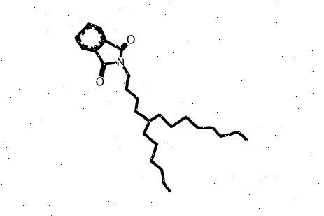 CCCCCCCCC(CCCCCC)CCCCN1C(=O)c2ccccc2C1=O